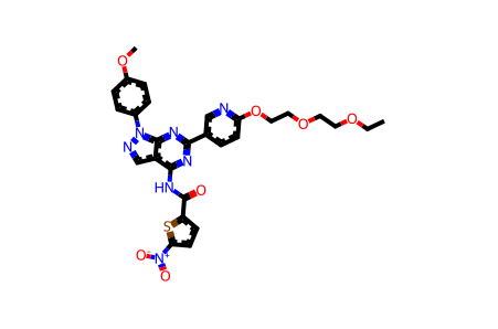 CCOCCOCCOc1ccc(-c2nc(NC(=O)c3ccc([N+](=O)[O-])s3)c3cnn(-c4ccc(OC)cc4)c3n2)cn1